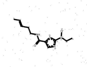 C/C=C/CCNC(=O)c1cnc([S+]([O-])CC)s1